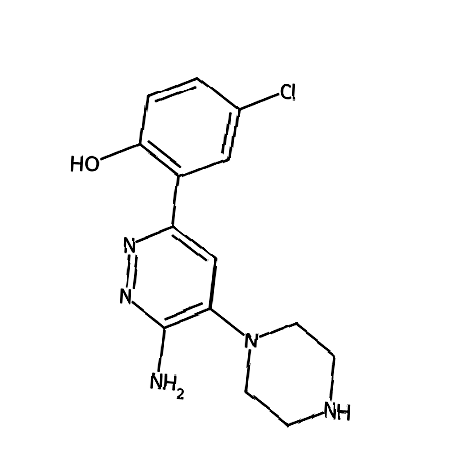 Nc1nnc(-c2cc(Cl)ccc2O)cc1N1CCNCC1